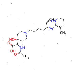 C=C/C(CCCCN1CCC(O)(C(NC(C)=O)C(=O)O)CC1)=N\C1=C(C)CCCN1